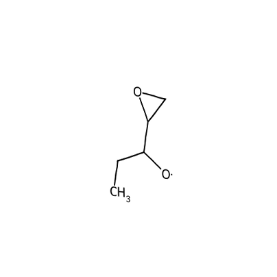 CCC([O])C1CO1